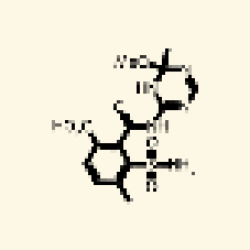 COC1(C)N=CN=C(NC(=O)c2c(C(=O)O)ccc(C)c2S(N)(=O)=O)N1